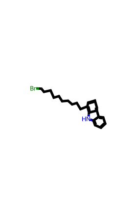 BrCCCCCCCCCCc1cccc2c1[nH]c1ccccc12